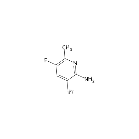 Cc1nc(N)c(C(C)C)cc1F